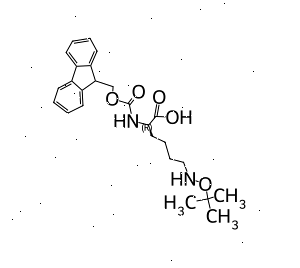 CC(C)(C)ONCCCC[C@@H](NC(=O)OCC1c2ccccc2-c2ccccc21)C(=O)O